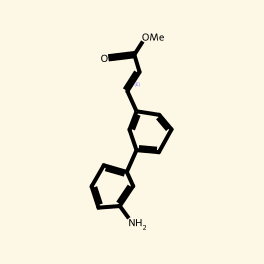 COC(=O)/C=C/c1cccc(-c2cccc(N)c2)c1